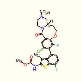 CC(C)(C)OC(=O)Nc1sc2c(F)ccc(-c3c(Cl)cc4c(c3F)OCC[C@H]3CN(C(=O)O)CCN3C4=O)c2c1C#N